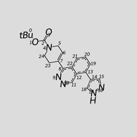 CC(C)(C)OC(=O)N1CC=C(c2nncc3c(-c4cn[nH]c4)cccc23)CC1